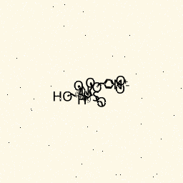 COCSC1=C(C(=O)OCc2ccc([N+](=O)[O-])cc2)N2C(=O)[C@@H](CCO)[C@H]2[C@H]1C